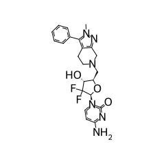 Cn1nc2c(c1-c1ccccc1)CCN(C[C@H]1O[C@@H](n3ccc(N)nc3=O)C(F)(F)[C@@H]1O)C2